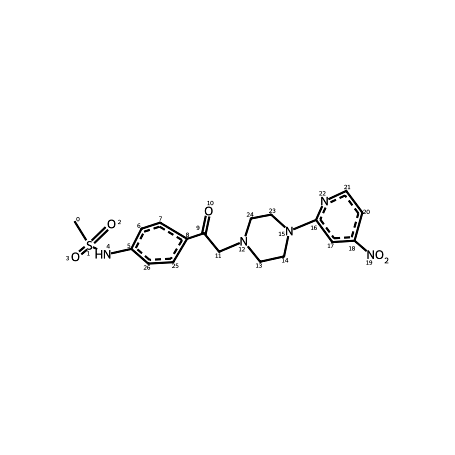 CS(=O)(=O)Nc1ccc(C(=O)CN2CCN(c3cc([N+](=O)[O-])ccn3)CC2)cc1